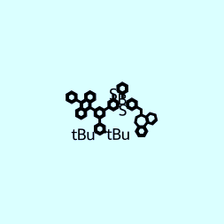 CC(C)(C)c1cc(-c2cc(-c3cc4c5c(c3)Sc3cc(CC6CCc7ccccc7C7=C6CCC=C7)ccc3B5c3ccccc3S4)cc(-c3c4ccccc4c(-c4ccccc4)c4ccccc34)c2)cc(C(C)(C)C)c1